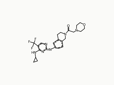 O=C(CN1CCOCC1)N1CCc2cc(Nc3ncc(C(F)(F)F)c(NC4CC4)n3)ccc2C1